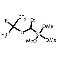 CCC(OC(F)(C(F)(F)F)C(F)(F)F)[Si](OC)(OC)OC